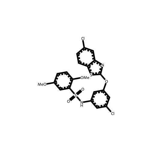 COc1ccc(OC)c(S(=O)(=O)Nc2cc(Cl)cc(Oc3nc4cc(Cl)ccc4s3)c2)c1